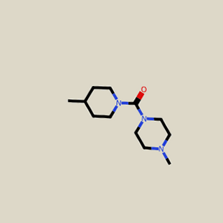 CC1CCN(C(=O)N2CCN(C)CC2)CC1